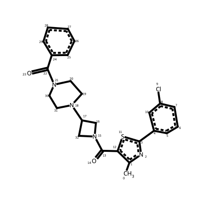 Cc1nc(-c2cccc(Cl)c2)sc1C(=O)N1CC(N2CCN(C(=O)c3ccccc3)CC2)C1